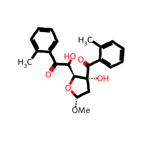 CO[C@H]1C[C@](O)(C(=O)c2ccccc2C)[C@H](C(O)C(=O)c2ccccc2C)O1